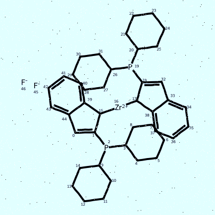 C1=C(P(C2CCCCC2)C2CCCCC2)[CH]([Zr+2][CH]2C(P(C3CCCCC3)C3CCCCC3)=Cc3ccccc32)c2ccccc21.[F-].[F-]